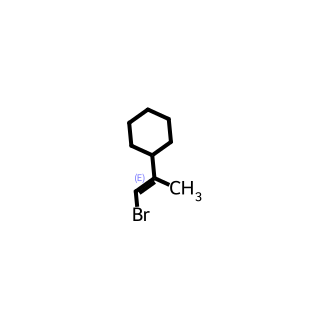 C/C(=C\Br)C1CCCCC1